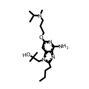 CCCCc1nc2c(N)nc(OCCCN(C)C(C)C)cc2n1CC(C)(C)O